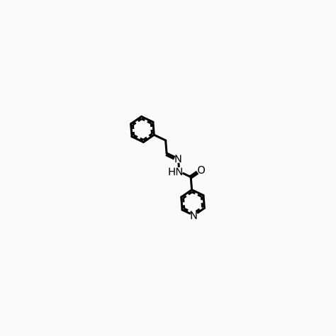 O=C(NN=CCc1ccccc1)c1ccncc1